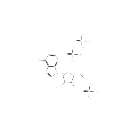 Nc1ncnc2c1ncn2[C@@H]1O[C@H](CO)[C@@H](O)C1N.O=P(O)(O)O.O=P(O)(O)O.O=P(O)(O)O